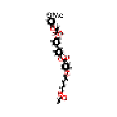 C=CC(=O)OCCCCCCOc1ccc(C(=O)Oc2ccc(-c3ccc(OC(=O)C(C)Oc4ccc(OC)cc4)cc3)cc2)cc1